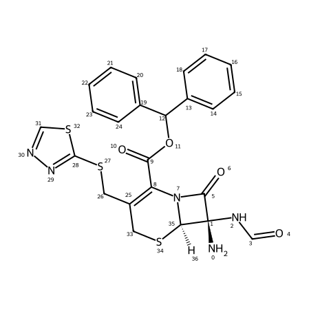 N[C@]1(NC=O)C(=O)N2C(C(=O)OC(c3ccccc3)c3ccccc3)=C(CSc3nncs3)CS[C@@H]21